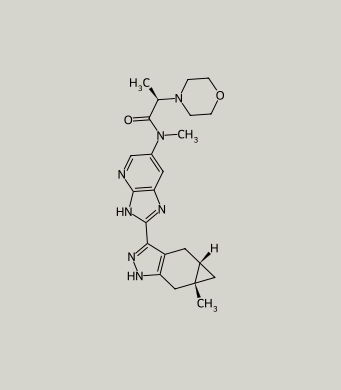 C[C@H](C(=O)N(C)c1cnc2[nH]c(-c3n[nH]c4c3C[C@@H]3C[C@]3(C)C4)nc2c1)N1CCOCC1